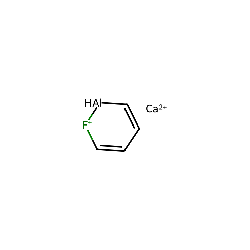 C1=C[F+][AlH][CH]=C1.[Ca+2]